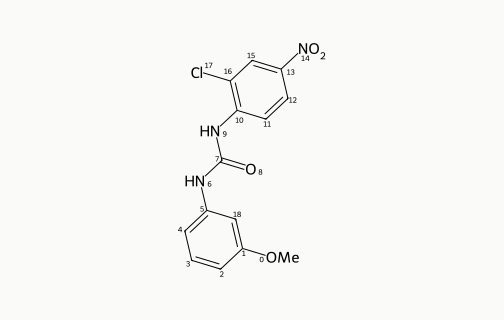 COc1cccc(NC(=O)Nc2ccc([N+](=O)[O-])cc2Cl)c1